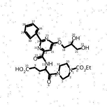 CCOC(=O)N1CCN(C(=O)C(CCC(=O)O)NC(=O)c2cc(OCC(O)CO)nc(-c3ccccc3)n2)CC1